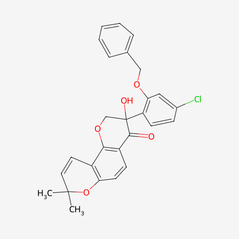 CC1(C)C=Cc2c(ccc3c2OCC(O)(c2ccc(Cl)cc2OCc2ccccc2)C3=O)O1